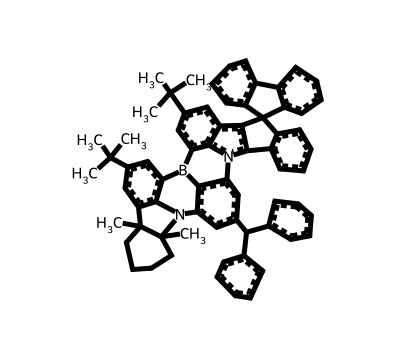 CC(C)(C)c1cc2c3c(c1)C1(C)CCCCC1(C)N3c1cc(C(c3ccccc3)c3ccccc3)cc3c1B2c1cc(C(C)(C)C)cc2c4c(n-3c12)-c1ccccc1C41c2ccccc2-c2ccccc21